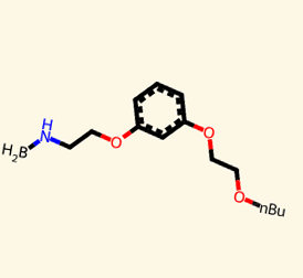 BNCCOc1cccc(OCCOCCCC)c1